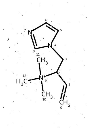 C=CC(Cn1ccnc1)[N+](C)(C)C